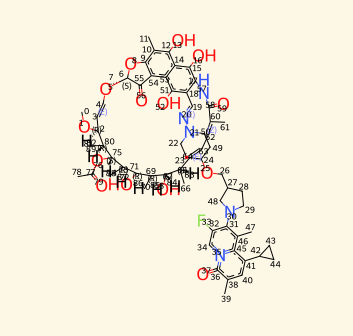 CO[C@H]1/C=C/O[C@@]2(C)Oc3c(C)c(O)c4c(O)c(c(/C=N/N5CCC(OCC6CCN(c7c(F)cn8c(=O)c(C)cc(C9CC9)c8c7C)C6)CC5)c(O)c4c3C2=O)NC(=O)/C(C)=C\C=C\[C@H](C)[C@H](O)[C@@H](C)[C@@H](O)[C@@H](C)[C@H](OC(C)=O)[C@@H]1C